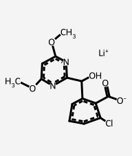 COc1cc(OC)nc(C(O)c2cccc(Cl)c2C(=O)[O-])n1.[Li+]